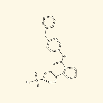 CS(=O)(=O)c1ccc(-c2ccccc2C(=O)Nc2ccc(Cc3ccccn3)cc2)cc1